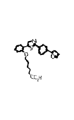 O=C(O)CCCCCOc1ccccc1-c1cnc(-c2ccc(-c3ccco3)cc2)s1